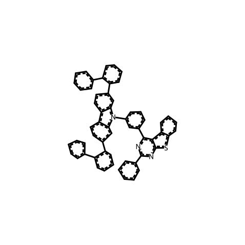 c1ccc(-c2nc(-c3cccc(-n4c5cc(-c6ccccc6-c6ccccc6)ccc5c5ccc(-c6ccccc6-c6ccccc6)cc54)c3)c3c(n2)sc2ccccc23)cc1